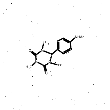 CC(=O)Nc1ccc(C2N(C)C(=O)N(C)C(=O)N2C(C)C)cc1